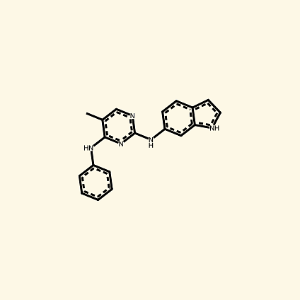 Cc1cnc(Nc2ccc3cc[nH]c3c2)nc1Nc1ccccc1